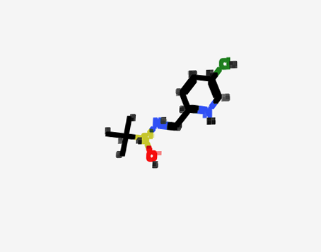 CC(C)(C)[S+]([O-])N=Cc1ccc(Cl)cn1